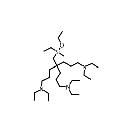 CCO[Si](C)(CC)CC(CCCN(CC)CC)(CCCN(CC)CC)CCCN(CC)CC